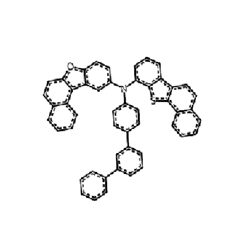 c1ccc(-c2cccc(-c3ccc(N(c4ccc5oc6ccc7ccccc7c6c5c4)c4cccc5c4sc4c6ccccc6ccc54)cc3)c2)cc1